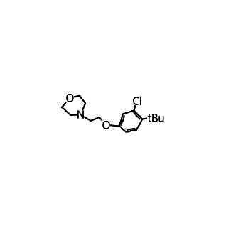 CC(C)(C)c1ccc(OCCN2CCOCC2)cc1Cl